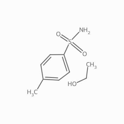 CCO.Cc1ccc(S(N)(=O)=O)cc1